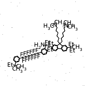 CCC(C)(C)c1cccc(C(F)(F)C(F)(F)C(F)(F)C(F)(F)C(F)(F)C(F)(F)c2cccc(C(N)(CC)C(CC)(CC)c3ccc4c(c3)C(CCCCCCN(C)C)(CCCCCCN(C)C)c3cc(C(C)(CC)CC)ccc3-4)c2)c1